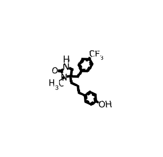 CN1C(=O)NCC1(CCCc1ccc(O)cc1)Cc1ccc(C(F)(F)F)cc1